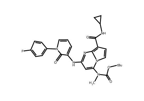 CN(C(=O)OC(C)(C)C)c1cc(Nc2cccn(-c3ccc(F)cc3)c2=O)nc2c(C(=O)NC3CC3)ccn12